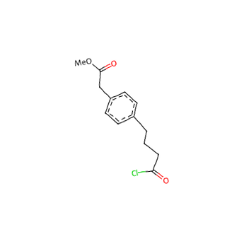 COC(=O)Cc1ccc(CCCC(=O)Cl)cc1